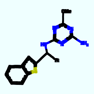 CCC(Nc1nc(N)nc(OC)n1)c1cc2ccccc2s1